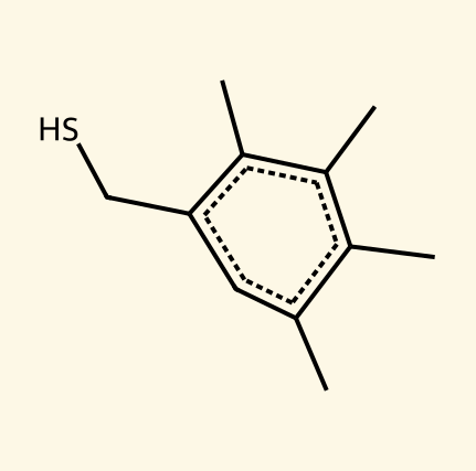 Cc1cc(CS)c(C)c(C)c1C